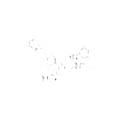 Cl.NC1=NC2(CCN(C(=O)c3ccc(OCc4ccccc4)cc3)CC2)Nc2ccccc21